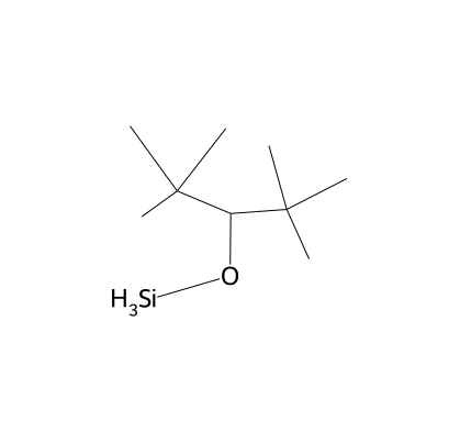 CC(C)(C)C(O[SiH3])C(C)(C)C